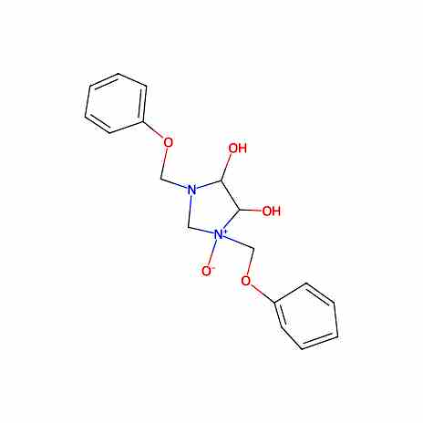 [O-][N+]1(COc2ccccc2)CN(COc2ccccc2)C(O)C1O